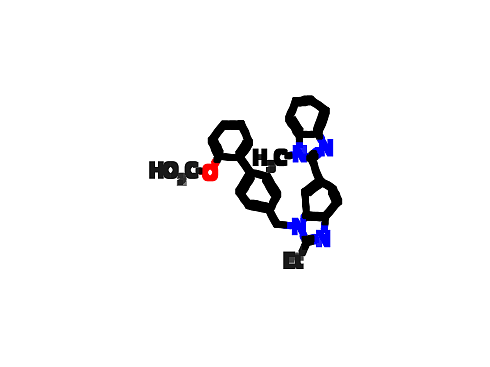 CCc1nc2ccc(-c3nc4ccccc4n3C)cc2n1Cc1ccc(-c2ccccc2OC(=O)O)cc1